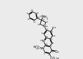 Cn1cc(C(=O)O)c(=O)c2cc3cc(F)c(N4CC(N)(c5ccccc5)C4)cc3nc21